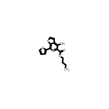 CCCCOC(=O)c1nc(-c2ccco2)c2sccc2c1O